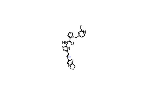 O=C(Nc1nc(/C=C/c2cn3c(n2)CCC3)cs1)c1cccn1Cc1ccnc(F)c1